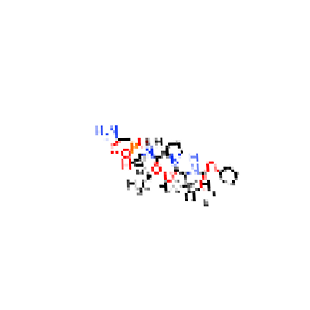 C=C[C@@H]1C[C@]1(N(C)C(=O)[C@@H]1CCCN1C(=O)C(NC(=O)OC1CCCC1)C(C)(C)C)P(=O)(O)CC(N)=O